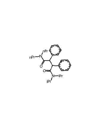 CCCN(CCC)C(=O)[C](c1ccccc1)C(C(=O)N(C(C)C)C(C)C)c1ccccc1